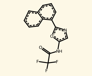 O=C(Nc1cnc(-c2cccc3ccccc23)o1)C(F)(F)F